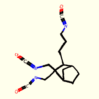 O=C=NCCCC1C2CCC(C2)C1(CN=C=O)CN=C=O